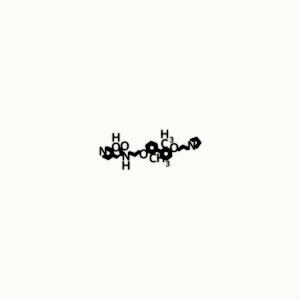 Cc1c(OCCCN[C@@H](Cc2ccncc2)C(=O)O)cccc1-c1cccc(OCCCN2CCCC2)c1C